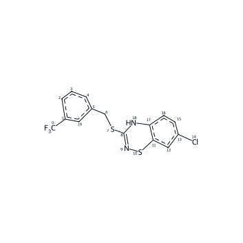 FC(F)(F)c1cccc(CSC2=NSc3cc(Cl)ccc3N2)c1